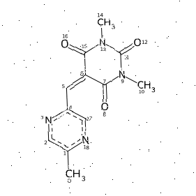 Cc1cnc(C=C2C(=O)N(C)C(=O)N(C)C2=O)cn1